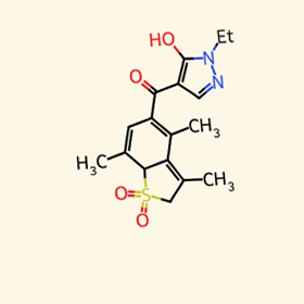 CCn1ncc(C(=O)C2=C(C)C3=C(C)CS(=O)(=O)C3C(C)=C2)c1O